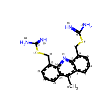 Cc1c2cccc(CSC(=N)N)c2nc2c(CSC(=N)N)cccc12